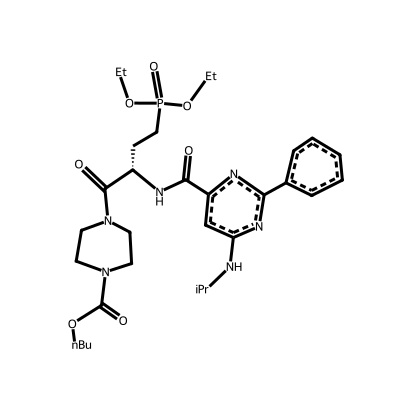 CCCCOC(=O)N1CCN(C(=O)[C@H](CCP(=O)(OCC)OCC)NC(=O)c2cc(NC(C)C)nc(-c3ccccc3)n2)CC1